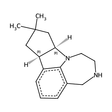 CC1(C)C[C@@H]2c3cccc4c3N(CCNC4)[C@@H]2C1